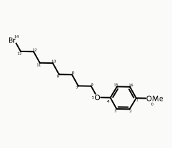 COc1ccc(OCCCCCCCCBr)cc1